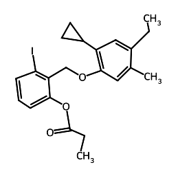 CCC(=O)Oc1cccc(I)c1COc1cc(C)c(CC)cc1C1CC1